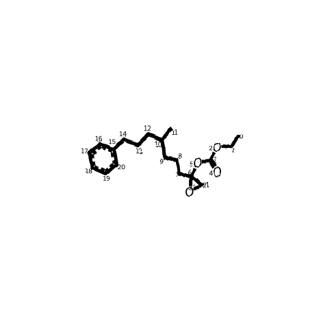 CCOC(=O)OC1(CCCC(C)CCCc2ccccc2)CO1